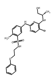 Cc1ccc(Nc2ncc(Br)c(N[C@H](C)CO)n2)cc1S(=O)(=O)NCCOc1ccccc1